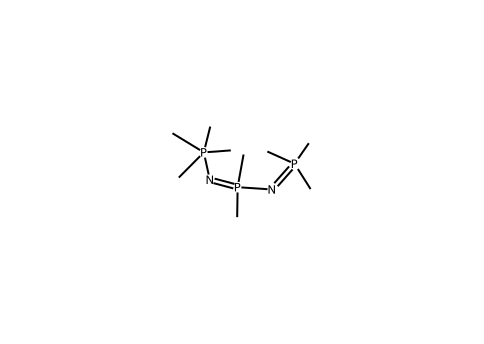 CP(C)(C)=NP(C)(C)=NP(C)(C)(C)C